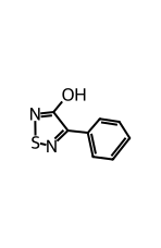 Oc1nsnc1-c1ccccc1